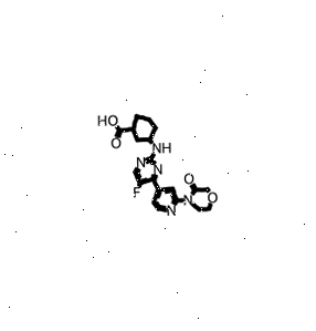 O=C(O)C1CCCC(Nc2ncc(F)c(-c3ccnc(N4CCOCC4=O)c3)n2)C1